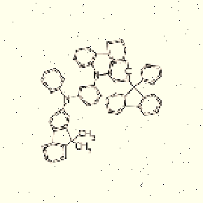 CC1(C)c2ccccc2-c2ccc(N(c3ccccc3)c3cccc(N(c4cccc(C5(c6ccccc6)c6ccccc6-c6ccccc65)c4)c4ccccc4-c4ccccc4)c3)cc21